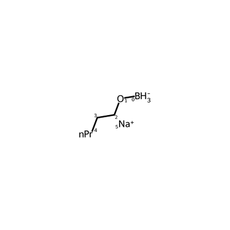 [BH3-]OCCCCC.[Na+]